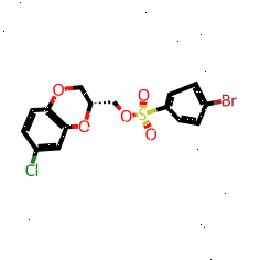 O=S(=O)(OC[C@H]1COc2ccc(Cl)cc2O1)c1ccc(Br)cc1